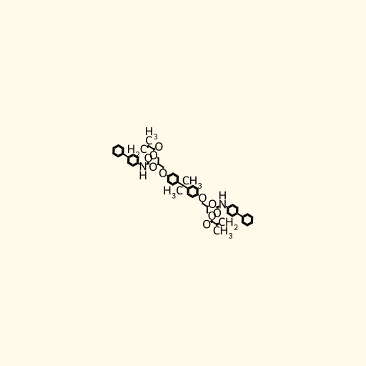 C=C(C)C(=O)OCC(COc1ccc(C(C)(C)c2ccc(OCC(COC(=O)C(=C)C)OC(=O)Nc3ccc(-c4ccccc4)cc3)cc2)cc1)OC(=O)Nc1ccc(-c2ccccc2)cc1